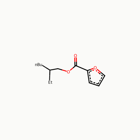 CCCCC(CC)COC(=O)c1ccco1